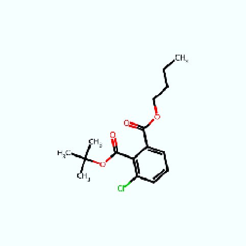 CCCCOC(=O)c1cccc(Cl)c1C(=O)OC(C)(C)C